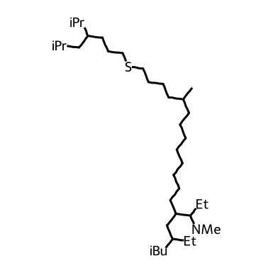 CCC(C)C(CC)CC(CCCCCCCCC(C)CCCCSCCCC(CC(C)C)C(C)C)C(CC)NC